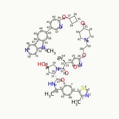 Cc1ncsc1-c1ccc([C@H](C)NC(=O)[C@@H]2C[C@@H](O)CN2C(=O)[C@H](c2cc(OCCN3CCC(O[C@H]4C[C@H](Oc5ccc(-c6ccc7c8cnccc8n(C)c7c6)cn5)C4)CC3)no2)C(C)C)cc1